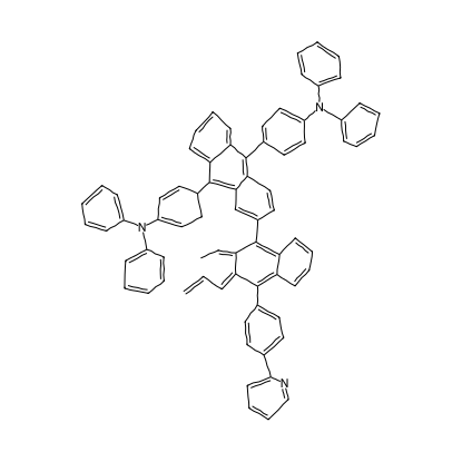 C=C/C=c1/c(-c2ccc(-c3ccccn3)cc2)c2ccccc2c(-c2ccc3c(-c4ccc(N(c5ccccc5)c5ccccc5)cc4)c4ccccc4c(C4C=CC(N(c5ccccc5)c5ccccc5)=CC4)c3c2)/c1=C/C